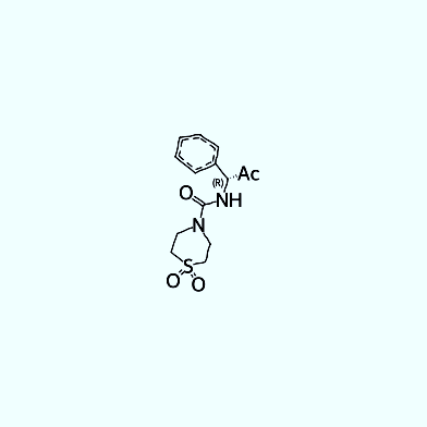 CC(=O)[C@H](NC(=O)N1CCS(=O)(=O)CC1)c1ccccc1